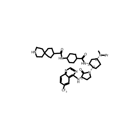 CC(C)N(C)[C@@H]1CC[C@H](N2CC[C@H](Nc3ncnc4ccc(C(F)(F)F)cc34)C2=O)[C@H](NC(=O)C2CCC(NC(=O)C3CCC4(CCNCC4)CC3)CC2)C1